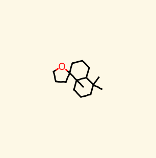 CC1(C)CCCC2(C)C1CCCC21CCCO1